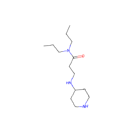 CCCN(CCC)C(=O)CCNC1CCNCC1